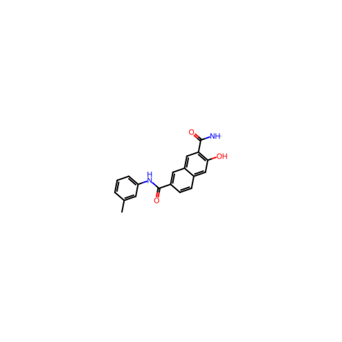 Cc1cccc(NC(=O)c2ccc3cc(O)c(C([NH])=O)cc3c2)c1